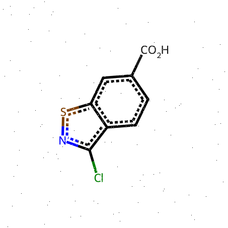 O=C(O)c1ccc2c(Cl)nsc2c1